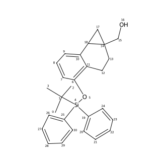 CC(C)(C)[Si](Oc1cccc2c1CCC1(CO)CC21)(c1ccccc1)c1ccccc1